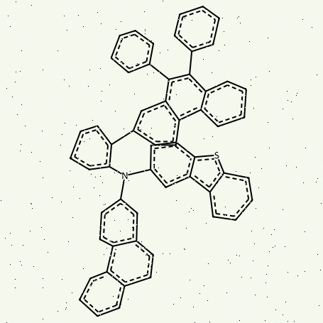 c1ccc(-c2c(-c3ccccc3)c3cc(-c4ccccc4N(c4ccc5c(ccc6ccccc65)c4)c4ccc5sc6ccccc6c5c4)ccc3c3ccccc23)cc1